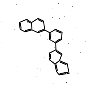 [c]1c(-c2ccc3ccccc3c2)cccc1-c1ccc2ccccc2c1